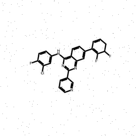 FC1=C(c2ccc3c(Nc4ccc(F)c(Cl)c4)nc(-c4cccnc4)nc3c2)C=CCC1F